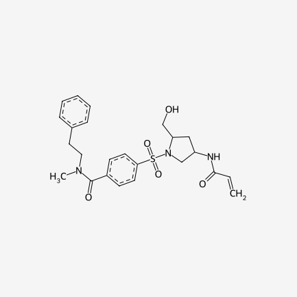 C=CC(=O)NC1CC(CO)N(S(=O)(=O)c2ccc(C(=O)N(C)CCc3ccccc3)cc2)C1